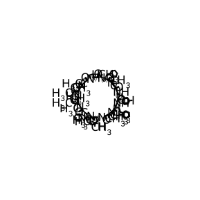 CC[C@H](C)[C@@H]1NC(=O)[C@H](CC(C)C)N(C)C(=O)C[C@@H](C(=O)N2CCCCC2)N(C)C(=O)[C@H](CC(C)C)NC(=O)C(C)(C)N(C)C(=O)[C@H](CCc2ccccc2)NC(=O)[C@H](Cc2cccc(I)c2)NC(=O)CN(C)C(=O)[C@H](CC2CCCCC2)N(C)C(=O)[C@@H]2CCN2C(=O)CN(C)C1=O